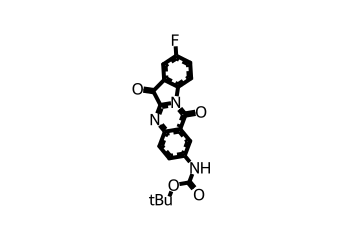 CC(C)(C)OC(=O)Nc1ccc2nc3n(c(=O)c2c1)-c1ccc(F)cc1C3=O